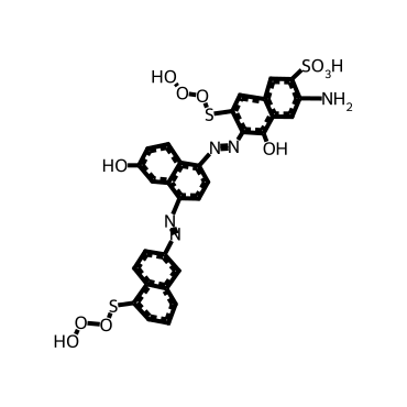 Nc1cc2c(O)c(/N=N/c3ccc(/N=N/c4ccc5c(SOOO)cccc5c4)c4cc(O)ccc34)c(SOOO)cc2cc1S(=O)(=O)O